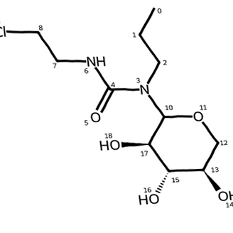 CCCN(C(=O)NCCCl)C1OC[C@@H](O)[C@H](O)[C@H]1O